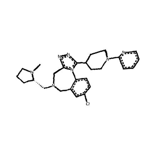 CN1CCC[C@H]1CN1Cc2cc(Cl)ccc2-n2c(nnc2C2CCN(c3ccccn3)CC2)C1